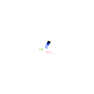 B.C#N.F